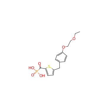 CCOCCOc1ccc(Cc2ccc(C(=O)P(=O)(O)O)s2)cc1